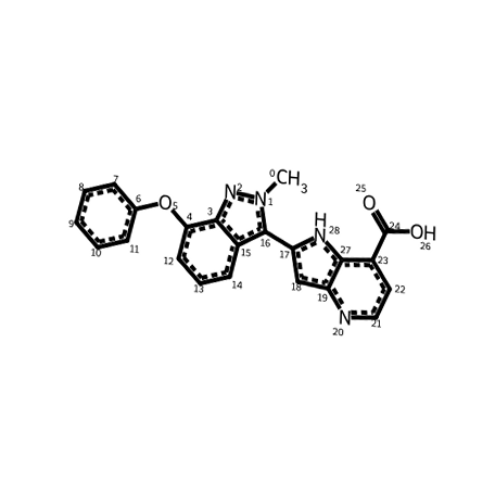 Cn1nc2c(Oc3ccccc3)cccc2c1-c1cc2nccc(C(=O)O)c2[nH]1